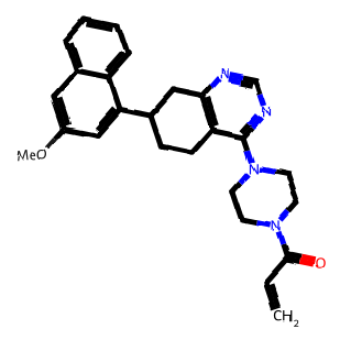 C=CC(=O)N1CCN(c2ncnc3c2CCC(c2cc(OC)cc4ccccc24)C3)CC1